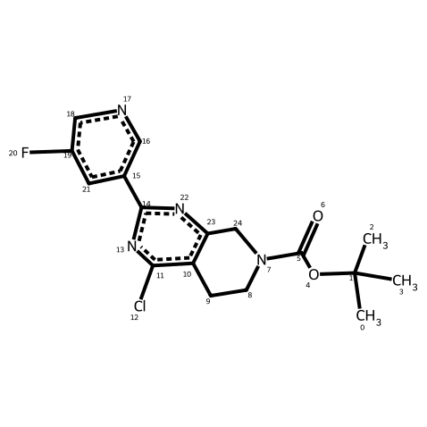 CC(C)(C)OC(=O)N1CCc2c(Cl)nc(-c3cncc(F)c3)nc2C1